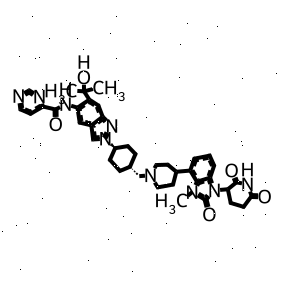 Cn1c(=O)n(C2CCC(=O)NC2=O)c2cccc(C3CCN(C[C@H]4CC[C@H](n5cc6cc(NC(=O)c7ccncn7)c(C(C)(C)O)cc6n5)CC4)CC3)c21